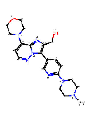 O=C(O)N1CCN(c2ccc(-c3c(CO)nc4c(N5CCOCC5)ccnn34)cn2)CC1